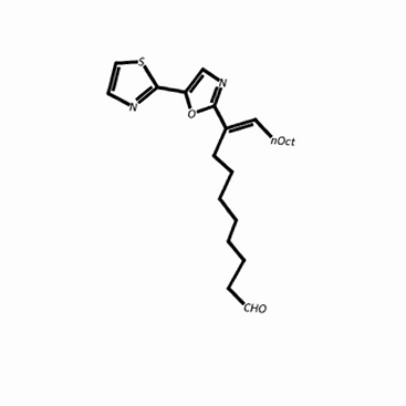 CCCCCCCC/C=C(\CCCCCCCC=O)c1ncc(-c2nccs2)o1